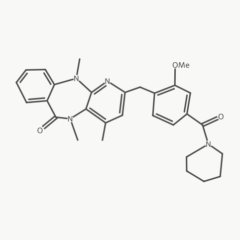 COc1cc(C(=O)N2CCCCC2)ccc1Cc1cc(C)c2c(n1)N(C)c1ccccc1C(=O)N2C